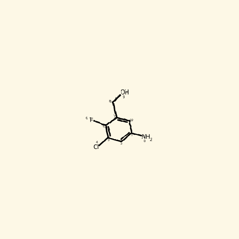 Nc1cc(Cl)c(F)c(CO)c1